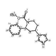 CC(C)(C)OC(=O)N1CCC(n2ccnc2)CC1c1ccccc1